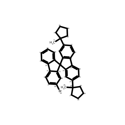 CC1(c2ccc3c(c2)C2(c4ccccc4-c4ccc(Br)cc42)c2cc(C4(C)CCCC4)ccc2-3)CCCC1